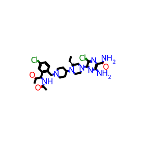 CC[C@H]1CN(c2nc(N)c(C(N)=O)nc2Cl)CCN1C1CCN(Cc2ccc(Cl)cc2C(NC(C)=O)C(C)=O)CC1